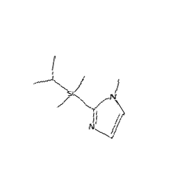 CC(C)[Si](C)(C)c1nccn1C